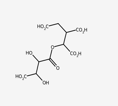 O=C(O)CC(C(=O)O)C(OC(=O)C(O)C(O)C(=O)O)C(=O)O